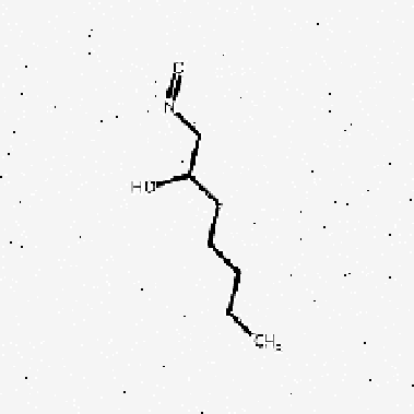 CCCCCC(O)CN=O